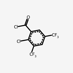 O=C(Cl)c1cc(C(F)(F)F)cc(C(F)(F)F)c1Cl